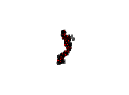 Nc1ncnc2c1c(-c1ccc(Oc3ccccc3)cc1)nn2[C@@H]1CCCN(C(=O)N2CCN(CCCC3CCN(c4ccc5c(c4)CN(C4CCC(=O)NC4=O)C5=O)CC3)CC2)C1